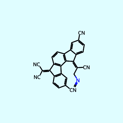 C=NC/C(C#N)=C1/c2ccc(C#N)cc2-c2ccc3c(c21)-c1cc(C#N)ccc1C3=C(C#N)C#N